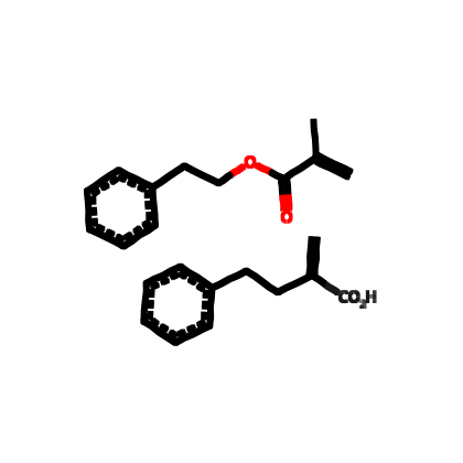 C=C(C)C(=O)OCCc1ccccc1.C=C(CCc1ccccc1)C(=O)O